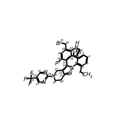 CCc1cccc(CC)c1-n1nc2c(c1-c1c(F)cc(CBr)c3[nH]ccc13)CN(c1ncc(C(F)(F)F)cn1)CC2